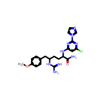 COc1ccc(CC(CCC(Nc2cc(Cl)nc(-n3ccnc3)n2)C(N)=O)NC(=N)N)cc1